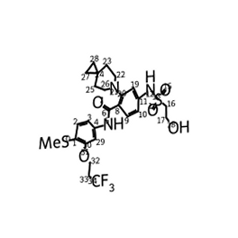 CSc1ccc(NC(=O)c2ccc(NS(=O)(=O)CCO)cc2N2CCC3(CC2)CC3)cc1OCCC(F)(F)F